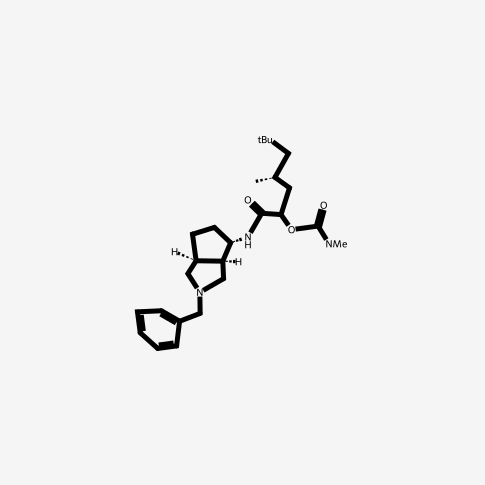 CNC(=O)OC(C[C@H](C)CC(C)(C)C)C(=O)N[C@H]1CC[C@@H]2CN(Cc3ccccc3)C[C@@H]21